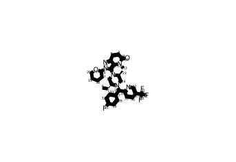 CC[C@@H]1CN(c2c3c(ccc(=O)n3C)nn2C2CCCCO2)[C@@H](C)CN1C(c1ccc(F)cc1)c1ccc(C(F)(F)F)cn1